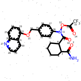 NC(=O)C1CCCCC1C(=O)N(OC(=O)C(F)(F)F)c1ccc(COc2cccc3ncccc23)cc1